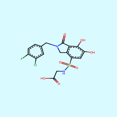 O=C(O)CNS(=O)(=O)c1cc(O)c(O)c2c1CN(Cc1ccc(F)c(Cl)c1)C2=O